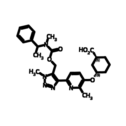 Cc1nc(-c2nnn(C)c2COC(=O)N(C)C(C)c2ccccc2)ccc1O[C@H]1CCC[C@H](C(=O)O)C1